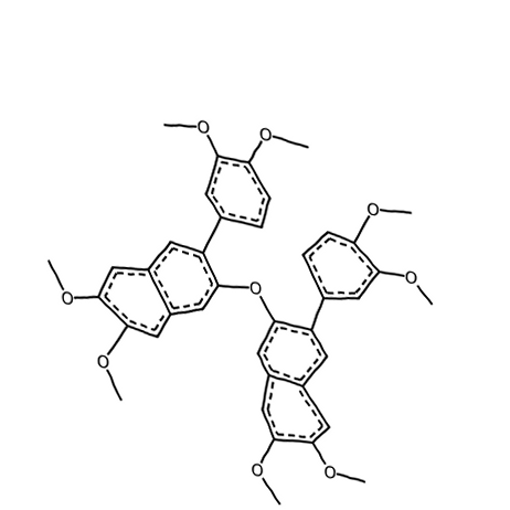 COc1ccc(-c2cc3cc(OC)c(OC)cc3cc2Oc2cc3cc(OC)c(OC)cc3cc2-c2ccc(OC)c(OC)c2)cc1OC